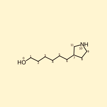 OCCCCCCC1CCNC1